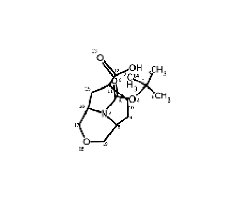 CC(C)(C)OC(=O)N1C2CCC(C(=O)O)CC1COC2